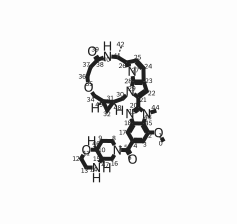 COc1cc(C(=O)N2CC[C@H]3OCCN[C@H]3C2)cc2nc(-c3cc4ccc5nc4n3C[C@H]3C[C@H]3COCCC(=O)N[C@@H]5C)n(C)c12